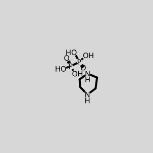 C1CNCCN1.O=P(O)(O)P(=O)(O)O